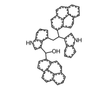 OC(c1ccc2ccc3cccc4ccc1c2c34)c1c[nH]c2cccc(CC(c3c[nH]c4ccccc34)c3ccc4ccc5cccc6ccc3c4c56)c12